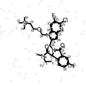 C[C@H]1C[C@@]2(C(=O)N1C)c1ccc(F)cc1C(=O)N2Cc1cc2nc(Cl)c(F)cc2n1COCC[Si](C)(C)C